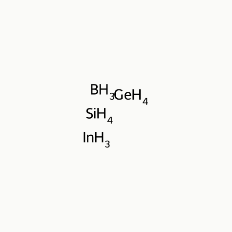 B.[GeH4].[InH3].[SiH4]